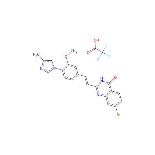 COc1cc(/C=C/c2nc3cc(Br)ccc3c(=O)[nH]2)ccc1-n1cnc(C)c1.O=C(O)C(F)(F)F